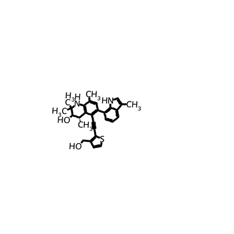 Cc1cc(-c2cccc3c(C)c[nH]c23)c(C#Cc2sccc2CO)c2c1NC(C)(C)C(O)[C@H]2C